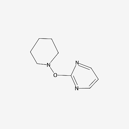 c1cnc(ON2CCCCC2)nc1